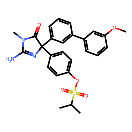 COc1cccc(-c2cccc(C3(c4ccc(OS(=O)(=O)C(C)C)cc4)N=C(N)N(C)C3=O)c2)c1